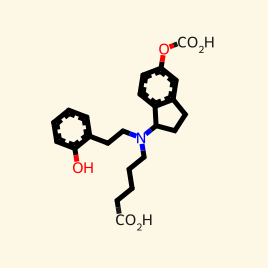 O=C(O)CCCCN(CCc1ccccc1O)C1CCc2cc(OC(=O)O)ccc21